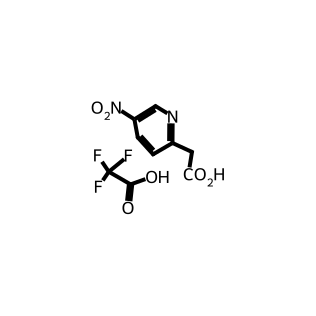 O=C(O)C(F)(F)F.O=C(O)Cc1ccc([N+](=O)[O-])cn1